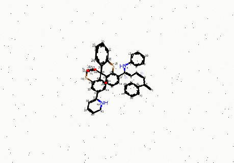 C=C(/C=C\C=C(/Nc1ccccc1)c1cccc2c1Sc1ccccc1C21c2ccccc2Sc2cc(C3=CC=CCN3)ccc21)c1ccccc1